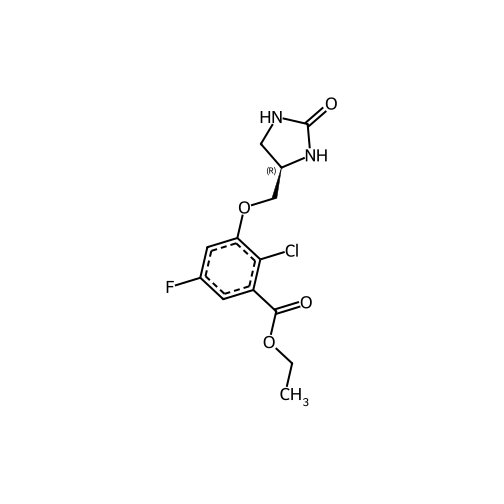 CCOC(=O)c1cc(F)cc(OC[C@H]2CNC(=O)N2)c1Cl